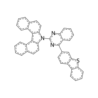 c1ccc2c(c1)ccc1c2c2c3ccccc3ccc2n1-c1nc(-c2ccc3c(c2)sc2ccccc23)c2ccccc2n1